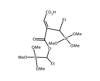 CCC(OC(=O)C(=CC(=O)O)C(CC)[Si](OC)(OC)OC)[Si](OC)(OC)OC